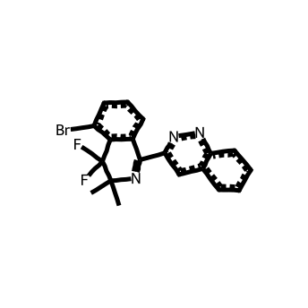 CC1(C)N=C(c2cc3ccccc3nn2)c2cccc(Br)c2C1(F)F